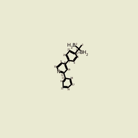 BC(B)(C)c1ccc(-c2ccnc(-c3ccccc3)c2)cc1